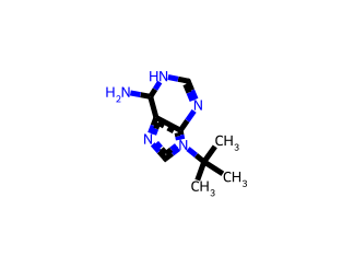 CC(C)(C)n1cnc2c1N=CNC2N